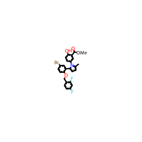 COC(=O)c1cc(-n2c(C)ccc2-c2cc(Br)ccc2OCc2ccc(F)cc2F)ccc1O